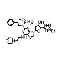 CCn1nnc([C@H]2O[C@@H](n3cnc4c(NCCN5CCOCC5)nc(N(CO)CCc5ccccc5)nc43)[C@H](OC=O)[C@@H]2O)n1